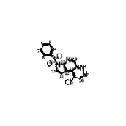 O=S(=O)(c1ccccc1)n1ccc2c3c(Cl)cnnc3cnc21